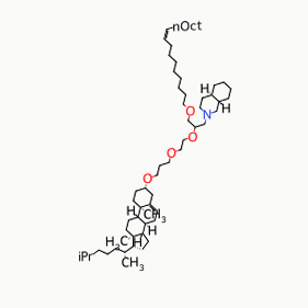 CCCCCCCC/C=C\CCCCCCCCOCC(CN1CC[C@H]2CCCC[C@@H]2C1)OCCOCCCO[C@H]1CC[C@@]2(C)C(=CC[C@H]3[C@@H]4CC[C@H]([C@H](C)CCCC(C)C)[C@@]4(C)CC[C@@H]32)C1